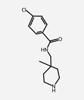 CC1(CNC(=O)c2ccc(Cl)cc2)CCNCC1